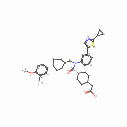 COc1ccc([C@H]2CC[C@H](CN(c3cccc(-c4cnc(C5CC5)s4)c3)C(=O)[C@H]3CC[C@H](CC(=O)O)CC3)CC2)cc1C